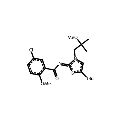 COc1ccc(Cl)cc1C(=O)/N=c1\sc(C(C)(C)C)cn1CC(C)(C)OC